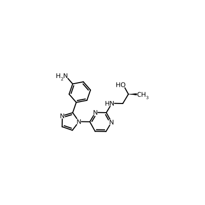 C[C@H](O)CNc1nccc(-n2ccnc2-c2cccc(N)c2)n1